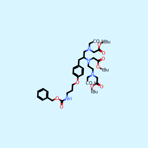 CC(C)(C)OC(=O)CN(CCN(CC(=O)OC(C)(C)C)C(Cc1ccc(OCCCNC(=O)OCc2ccccc2)cc1)CN(CC(=O)O)CC(=O)OC(C)(C)C)CC(=O)O